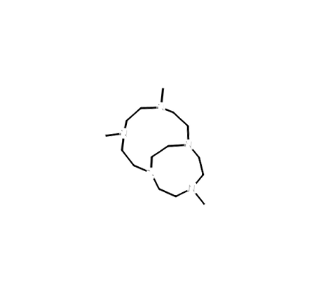 CN1CCN(C)CCN2CCN(C)CCN(CC1)CC2